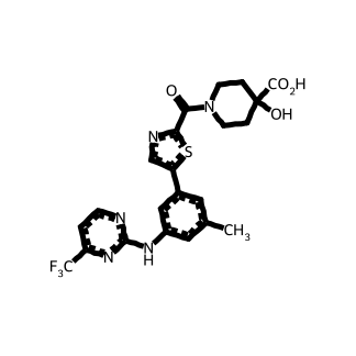 Cc1cc(Nc2nccc(C(F)(F)F)n2)cc(-c2cnc(C(=O)N3CCC(O)(C(=O)O)CC3)s2)c1